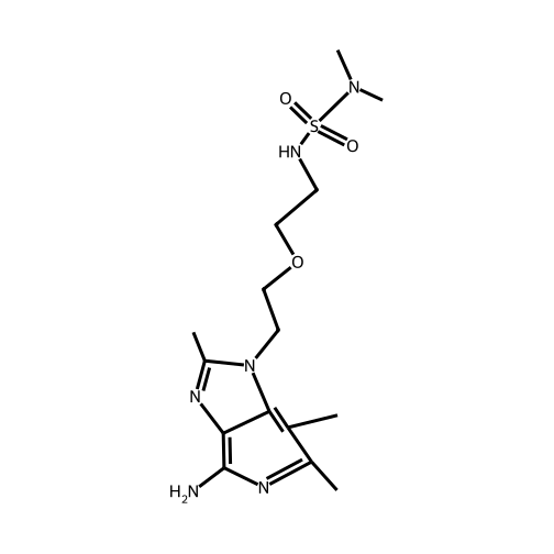 Cc1nc(N)c2nc(C)n(CCOCCNS(=O)(=O)N(C)C)c2c1C